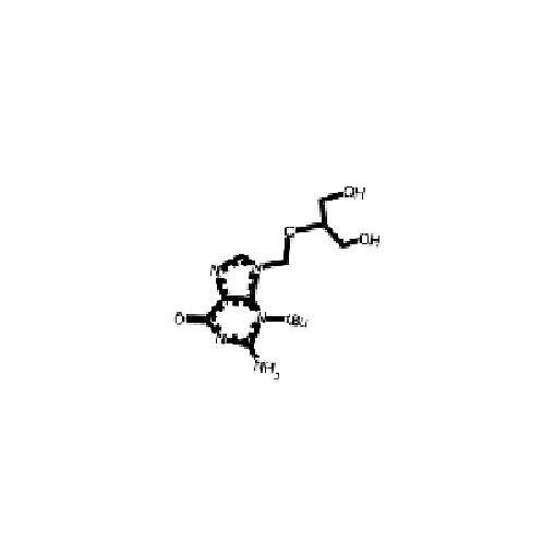 CC(C)(C)n1c(N)nc(=O)c2ncn(COC(CO)CO)c21